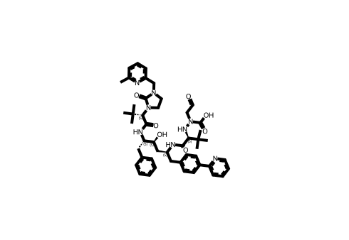 Cc1cccc(CN2CCN([C@H](C(=O)N[C@@H](Cc3ccccc3)[C@@H](O)C[C@H](Cc3ccc(-c4ccccn4)cc3)NC(=O)[C@@H](NN(CC=O)C(=O)O)C(C)(C)C)C(C)(C)C)C2=O)n1